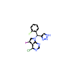 Fc1ccccc1C(c1c[nH]nn1)n1cc(I)c2c(Cl)ncnc21